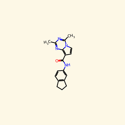 Cc1nc(C)n2ccc(C(=O)Nc3ccc4c(c3)CCC4)c2n1